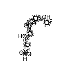 O=C1NC(=O)C(Cc2ccc(OC[C@@H](O)c3cccc(OCN4C(=O)SC(Cc5ccc(OC[C@@H](O)c6cccc(F)c6)cc5)C4=O)c3)cc2)S1